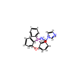 O=C(N=P1(c2ccccc2)c2ccccc2Oc2ccccc21)n1ccnc1